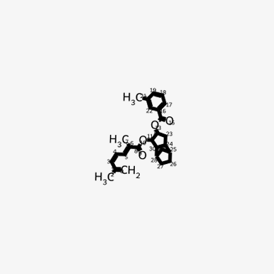 C=C(C)/C=C\C=C(/C)C(=O)OC1C(OC(=O)c2cccc(C)c2)CC2C3CCC(C3)C21